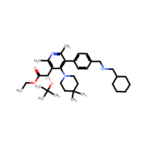 CCOC(=O)[C@@H](OC(C)(C)C)c1c(C)nc(C)c(-c2ccc(CNCC3CCCCC3)cc2)c1N1CCC(C)(C)CC1